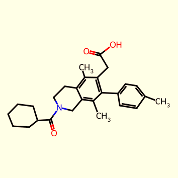 Cc1ccc(-c2c(C)c3c(c(C)c2CC(=O)O)CCN(C(=O)C2CCCCC2)C3)cc1